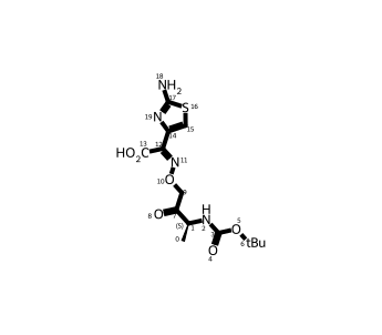 C[C@H](NC(=O)OC(C)(C)C)C(=O)CON=C(C(=O)O)c1csc(N)n1